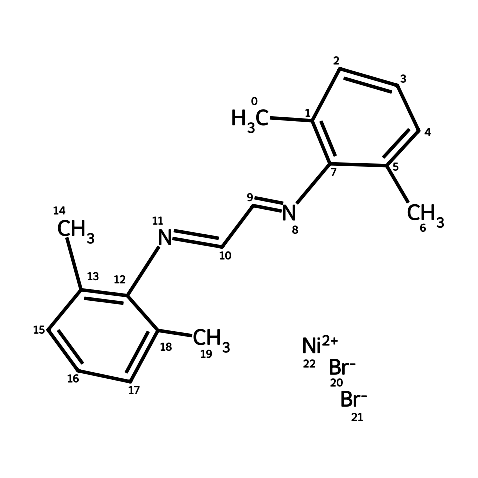 Cc1cccc(C)c1N=CC=Nc1c(C)cccc1C.[Br-].[Br-].[Ni+2]